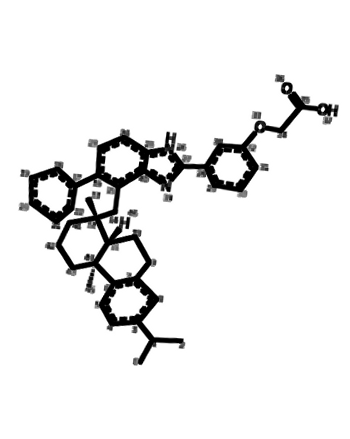 CC(C)c1ccc2c(c1)CC[C@H]1[C@@](C)(Cc3c(-c4ccccc4)ccc4[nH]c(-c5cccc(OCC(=O)O)c5)nc34)CCC[C@]21C